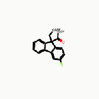 COCC1(C(=O)OC)c2ccccc2-c2cc(F)ccc21